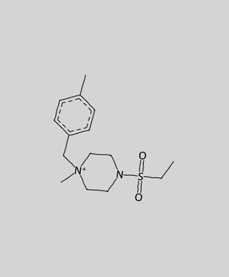 CCS(=O)(=O)N1CC[N+](C)(Cc2ccc(C)cc2)CC1